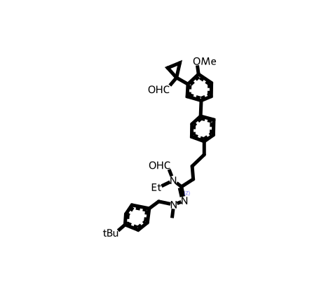 CCN(C=O)/C(CCCc1ccc(-c2ccc(OC)c(C3(C=O)CC3)c2)cc1)=N\N(C)Cc1ccc(C(C)(C)C)cc1